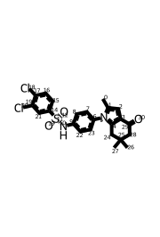 Cc1cc2c(n1-c1ccc(NS(=O)(=O)c3ccc(Cl)c(Cl)c3)cc1)CC(C)(C)CC2=O